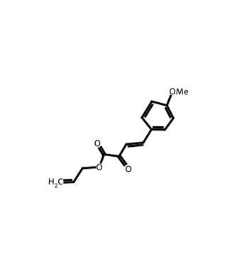 C=CCOC(=O)C(=O)/C=C/c1ccc(OC)cc1